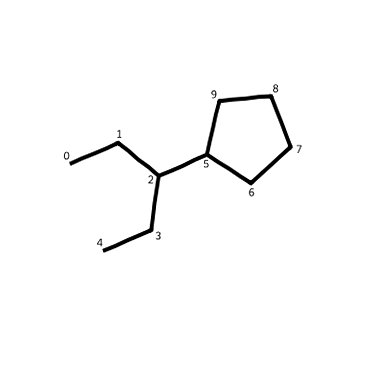 CCC(CC)C1CCCC1